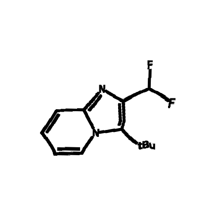 CC(C)(C)c1c(C(F)F)nc2ccccn12